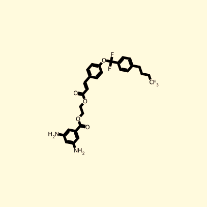 Nc1cc(N)cc(C(=O)OCCOC(=O)C=Cc2ccc(OC(F)(F)c3ccc(CCCC(F)(F)F)cc3)cc2)c1